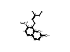 CCC(C)=CCc1c(OC)ccc2ccc(=O)oc12